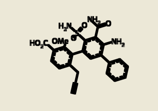 C#CCc1ccc(C(=O)O)c(OC)c1-c1cc(-c2ccccc2)c(N)c(C(N)=O)c1S(N)(=O)=O